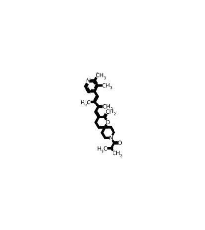 C=C1OC2(CC/C1=C/C(=C)/C(C)=C/c1ccnc(C)c1C)CCN(C(=O)C(C)C)CC2